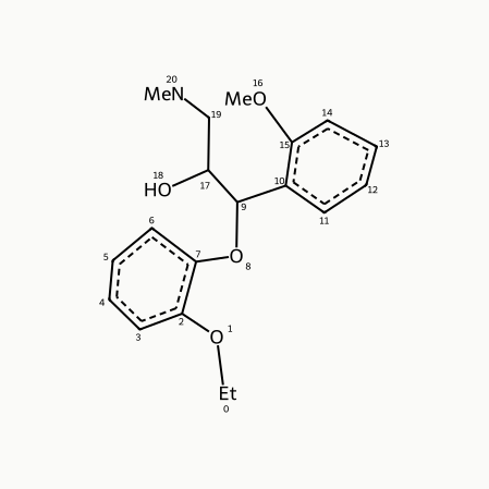 CCOc1ccccc1OC(c1ccccc1OC)C(O)CNC